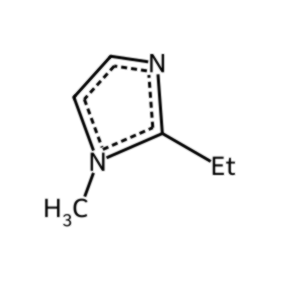 CCc1nccn1C